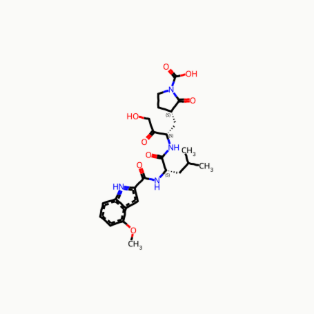 COc1cccc2[nH]c(C(=O)N[C@@H](CC(C)C)C(=O)N[C@@H](C[C@@H]3CCN(C(=O)O)C3=O)C(=O)CO)cc12